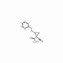 N#CC1(C(=O)O)CC1CCc1ccccc1